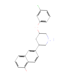 [O]c1cccc2cc(C3CNCC(Oc4cccc(Cl)c4)C3)ccc12